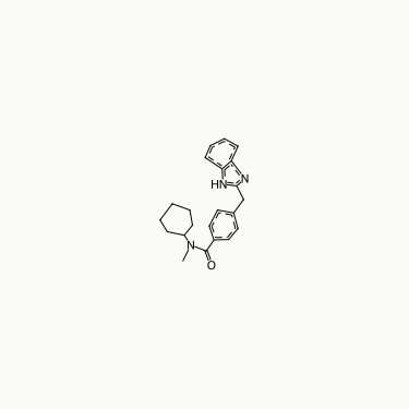 CN(C(=O)c1ccc(Cc2nc3ccccc3[nH]2)cc1)C1CCCCC1